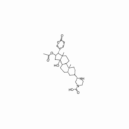 CC(=O)OC1CC2(O)C3CCC4CC([C@@H]5CN(C(=O)O)CCN5)CCC4(C)C3CCC2(C)C1c1ccc(=O)oc1